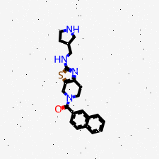 O=C(c1ccc2ccccc2c1)N1CCc2nc(NCC3CCNC3)sc2C1